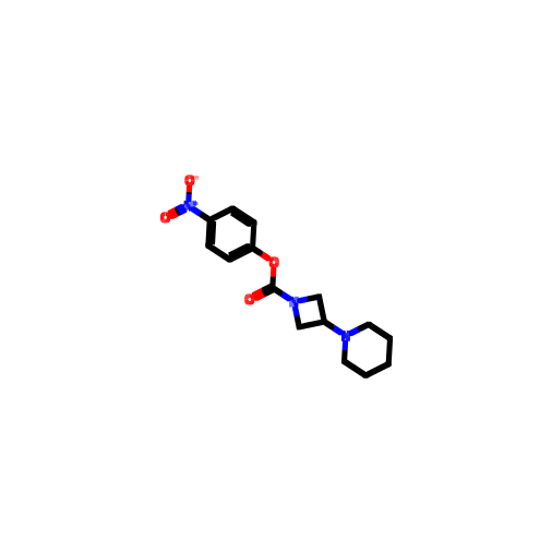 O=C(Oc1ccc([N+](=O)[O-])cc1)N1CC(N2CCCCC2)C1